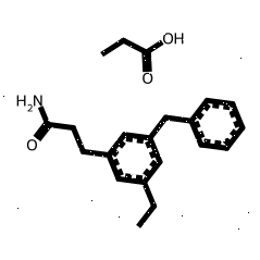 CCC(=O)O.CCc1cc(CCC(N)=O)cc(Cc2ccccc2)c1